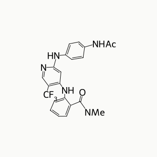 CNC(=O)c1ccccc1Nc1cc(Nc2ccc(NC(C)=O)cc2)ncc1C(F)(F)F